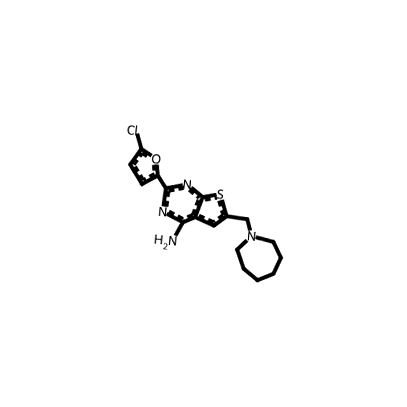 Nc1nc(-c2ccc(Cl)o2)nc2sc(CN3CCCCCC3)cc12